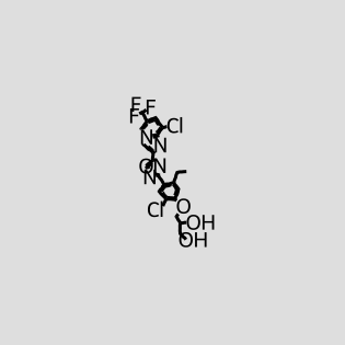 CCc1cc(OCC(O)CO)c(Cl)cc1-c1noc(-c2cn3cc(C(F)(F)F)cc(Cl)c3n2)n1